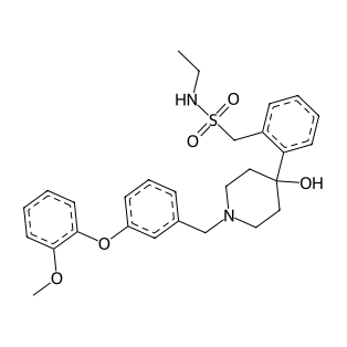 CCNS(=O)(=O)Cc1ccccc1C1(O)CCN(Cc2cccc(Oc3ccccc3OC)c2)CC1